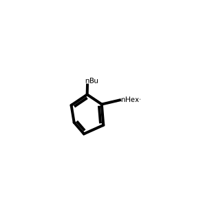 CCCCC[CH]c1ccccc1CCCC